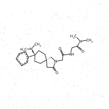 CN(C)C(=O)CNC(=O)CN1C[C@]2(CC[C@](c3ccccc3)(N(C)C)CC2)CC1=O